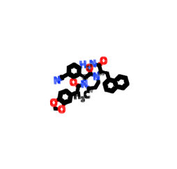 C[C@@H]1CCN([C@H](Cc2cccc3ccccc23)C(N)=O)C(=O)[C@H](c2cccc(C#N)c2)N1C(=O)Cc1ccc2c(c1)OCO2